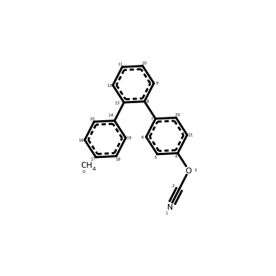 C.N#COc1ccc(-c2ccccc2-c2ccccc2)cc1